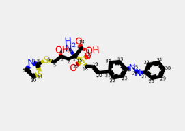 NC(CC(O)CSc1nccs1)(C(=O)O)S(=O)(=O)CC=Cc1ccc(N=Nc2ccccc2)cc1